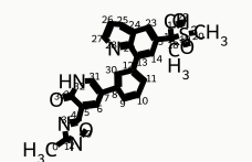 Cc1noc(-c2cc(-c3cccc(-c4cc(C(C)(C)S(C)(=O)=O)cc5cccnc45)c3)c[nH]c2=O)n1